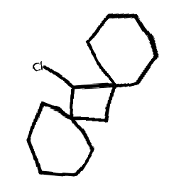 ClC1C2(CCCCC2)CC12CCCCC2